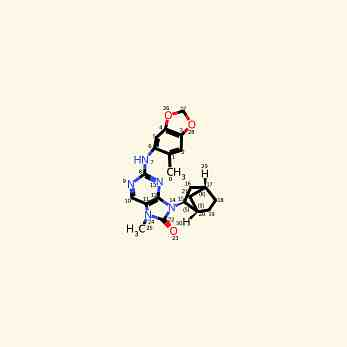 Cc1cc2c(cc1Nc1ncc3c(n1)n([C@H]1C[C@@H]4CC[C@H]1C4)c(=O)n3C)OCO2